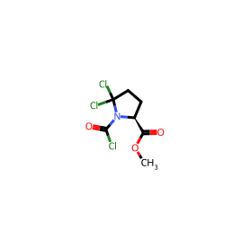 COC(=O)[C@@H]1CCC(Cl)(Cl)N1C(=O)Cl